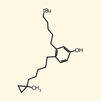 CC(C)(C)CCCCCc1cc(O)ccc1CCCCCC1(C)CC1